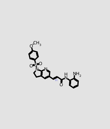 COc1ccc(S(=O)(=O)N2CCc3cc(/C=C/C(=O)Nc4ccccc4N)cnc32)cc1